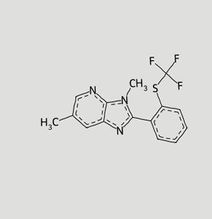 Cc1cnc2c(c1)nc(-c1ccccc1SC(F)(F)F)n2C